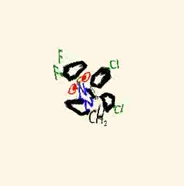 C=C1C=CC=C2N1[C@@H](c1ccc(Cl)cc1)[C@@H](c1ccc(Cl)cc1)N2S(=O)(=O)c1ccc(F)c(F)c1